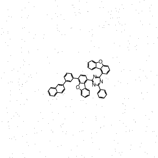 c1ccc(-c2nc(-c3cccc4oc5ccccc5c34)nc(-c3ccc(-c4cccc(-c5ccc6ccccc6c5)c4)c4oc5ccccc5c34)n2)cc1